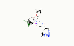 O=C(c1ccncc1)N1CCN(C(=O)N2Cc3ccccc3Oc3ccc(Cl)cc32)CC1